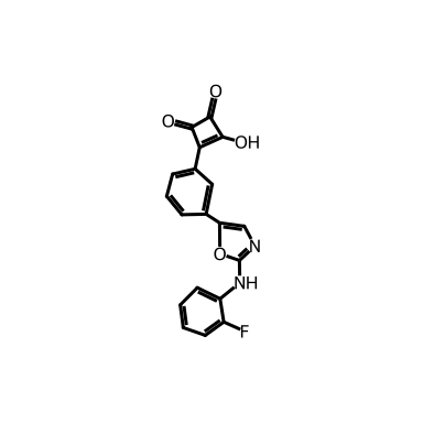 O=c1c(O)c(-c2cccc(-c3cnc(Nc4ccccc4F)o3)c2)c1=O